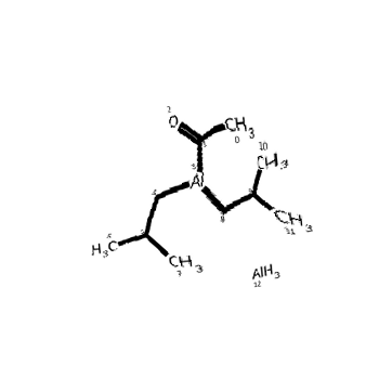 C[C](=O)[Al]([CH2]C(C)C)[CH2]C(C)C.[AlH3]